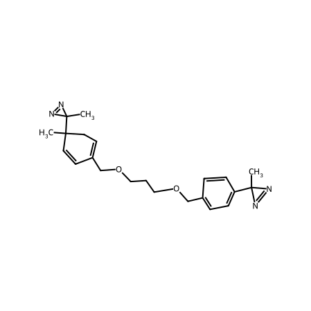 CC1(c2ccc(COCCCOCC3=CCC(C)(C4(C)N=N4)C=C3)cc2)N=N1